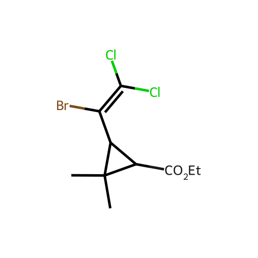 CCOC(=O)C1C(C(Br)=C(Cl)Cl)C1(C)C